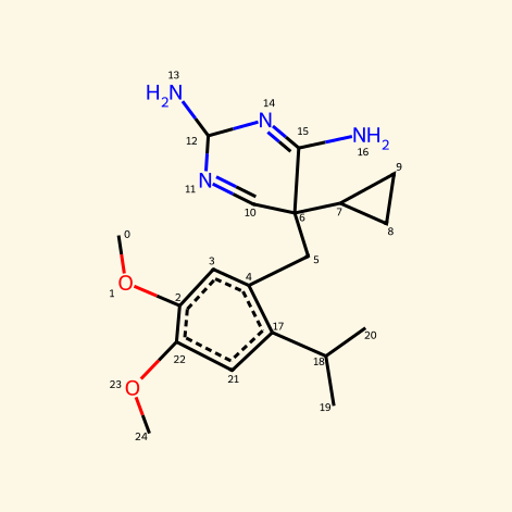 COc1cc(CC2(C3CC3)C=NC(N)N=C2N)c(C(C)C)cc1OC